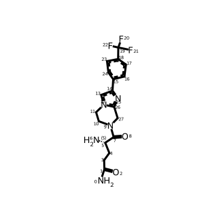 NC(=O)CC[C@H](N)C(=O)N1CCn2cc(-c3ccc(C(F)(F)F)cc3)nc2C1